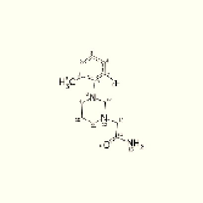 Cc1cccc(F)c1N1CCCN(CC(N)=O)C1